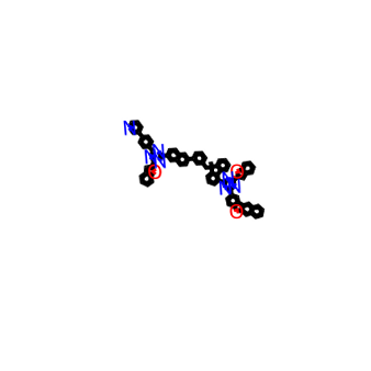 CC1(Cc2cccc(-c3ccc4cc(-c5nc(-c6ccc(-c7cccnc7)cc6)nc(-c6cc7ccccc7o6)n5)ccc4c3)c2)c2ccccc2-c2c(-c3nc(-c4ccc5oc6cc7ccccc7cc6c5c4)nc(-c4cc5ccccc5o4)n3)cccc21